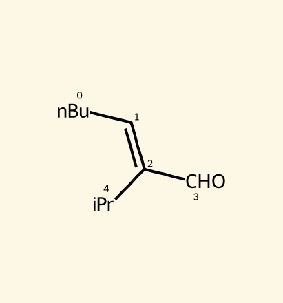 CCCCC=C(C=O)C(C)C